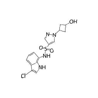 O=S(=O)(Nc1cccc2c(Cl)c[nH]c12)c1cnn(C2CC(O)C2)c1